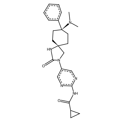 CN(C)[C@]1(c2ccccc2)CC[C@@]2(CC1)CN(c1cnc(NC(=O)C3CC3)nc1)C(=O)N2